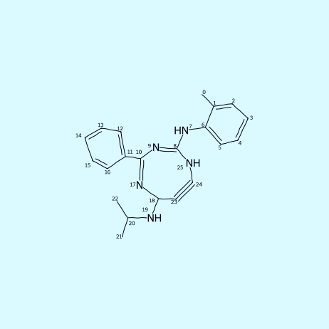 Cc1ccccc1N/C1=N/C(c2ccccc2)=N\C(NC(C)C)C#CN1